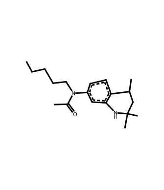 CCCCCN(C(C)=O)c1ccc2c(c1)NC(C)(C)CC2C